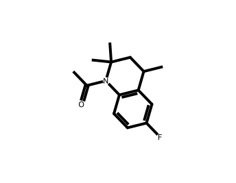 CC(=O)N1c2ccc(F)cc2C(C)CC1(C)C